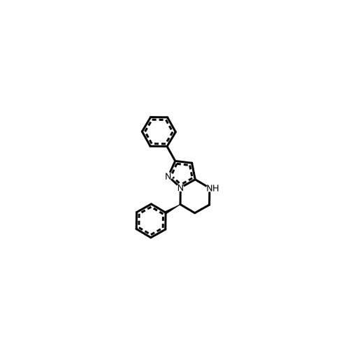 c1ccc(-c2cc3n(n2)[C@H](c2ccccc2)CCN3)cc1